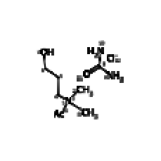 CC(=O)[N+](C)(C)CCCO.NC(N)=O.[Cl-]